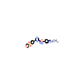 CNCc1ccc(-c2nnc(-c3cncc(-c4ccc(S(=O)(=O)C5CCOCC5)cc4)n3)o2)cc1